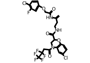 C=C(CCNC(=O)C1CN(C(=O)CC(F)(F)C(F)(F)F)c2cc(Cl)ccc2O1)NC(=O)COc1ccc(Cl)c(F)c1